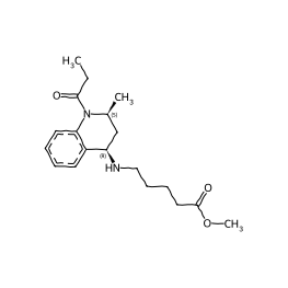 CCC(=O)N1c2ccccc2[C@H](NCCCCC(=O)OC)C[C@@H]1C